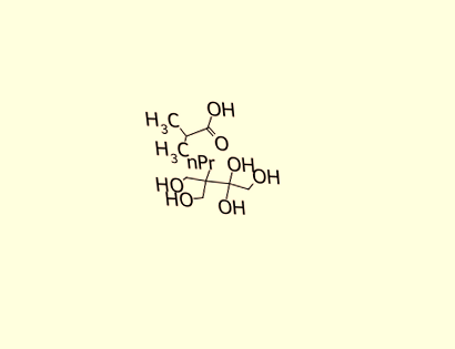 CC(C)C(=O)O.CCCC(CO)(CO)C(O)(O)CO